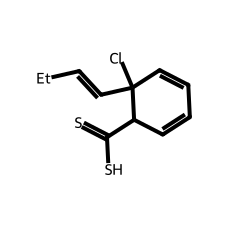 CCC=CC1(Cl)C=CC=CC1C(=S)S